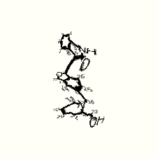 O=C1Nc2ccccc2/C1=C1\OCc2cc(CN3CCCCC3CO)ccc21